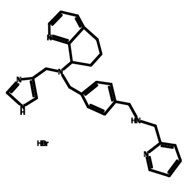 Br.c1ccc(CNCc2ccc(CN(Cc3c[nH]cn3)C3CCCc4cccnc43)cc2)nc1